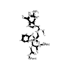 CCCCCOC(=O)C[C@H](NP(=O)(CO[C@@H](CF)Cn1cnc2c(=O)[nH]c(N)nc21)Oc1ccccc1)C(=O)OCCCCC